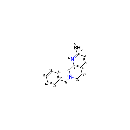 Bc1ccc2c(n1)CN(Cc1ccccc1)CC2